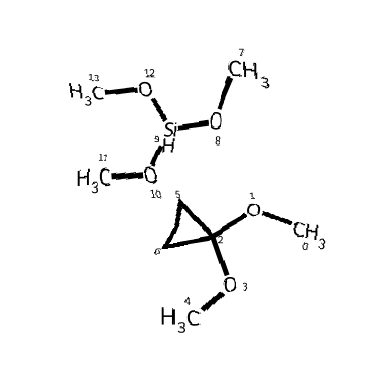 COC1(OC)CC1.CO[SiH](OC)OC